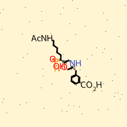 CC(=O)NCCCCCC([C@H]1CN[C@H](Cc2cccc(C(=O)O)c2)CO1)[PH](=O)O